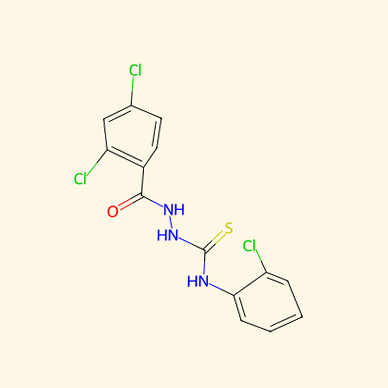 O=C(NNC(=S)Nc1ccccc1Cl)c1ccc(Cl)cc1Cl